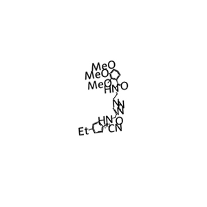 CCc1ccc([C@H](C#N)NC(=O)c2cn(CCNC(=O)c3ccc(OC)c(OC)c3OC)nn2)cc1